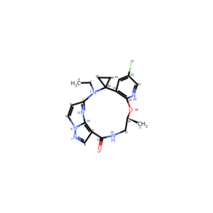 CCN1c2ccn3ncc(c3n2)C(=O)NC[C@H](C)Oc2ncc(F)cc2C12CC2